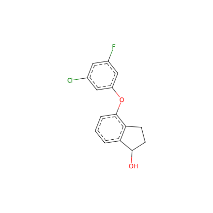 OC1CCc2c(Oc3cc(F)cc(Cl)c3)cccc21